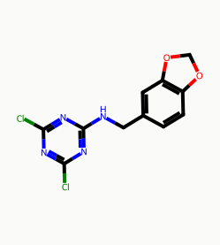 Clc1nc(Cl)nc(NCc2ccc3c(c2)OCO3)n1